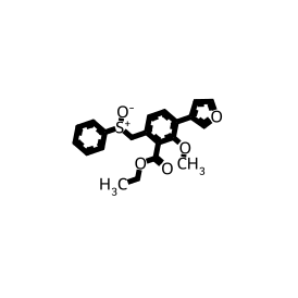 CCOC(=O)c1c(C[S+]([O-])c2ccccc2)ccc(-c2ccoc2)c1OC